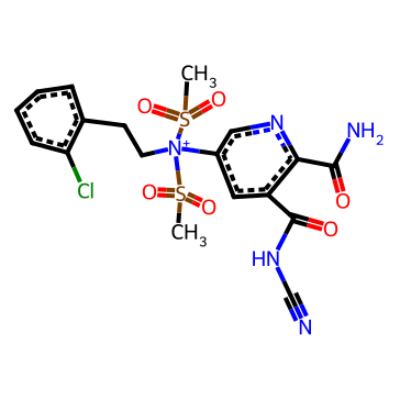 CS(=O)(=O)[N+](CCc1ccccc1Cl)(c1cnc(C(N)=O)c(C(=O)NC#N)c1)S(C)(=O)=O